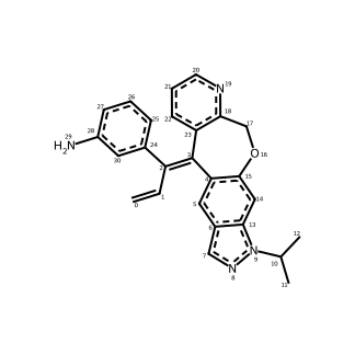 C=C/C(=C1\c2cc3cnn(C(C)C)c3cc2OCc2ncccc21)c1cccc(N)c1